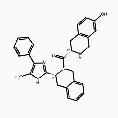 Cc1[nH]c([C@H]2Cc3ccccc3CN2C(=O)[C@@H]2Cc3ccc(O)cc3CN2)nc1-c1ccccc1